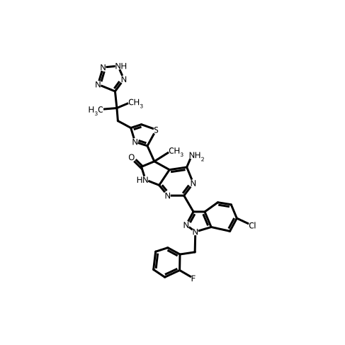 CC(C)(Cc1csc(C2(C)C(=O)Nc3nc(-c4nn(Cc5ccccc5F)c5cc(Cl)ccc45)nc(N)c32)n1)c1nn[nH]n1